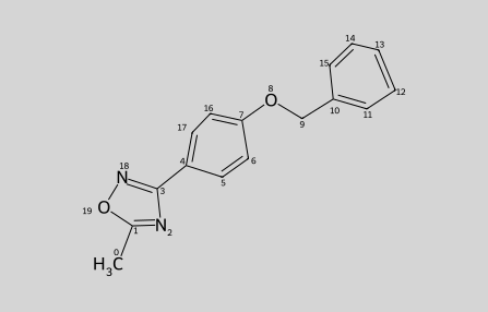 Cc1nc(-c2ccc(OCc3ccccc3)cc2)no1